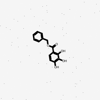 O=C(OCc1ccccc1)c1ccc(O)c(O)c1O